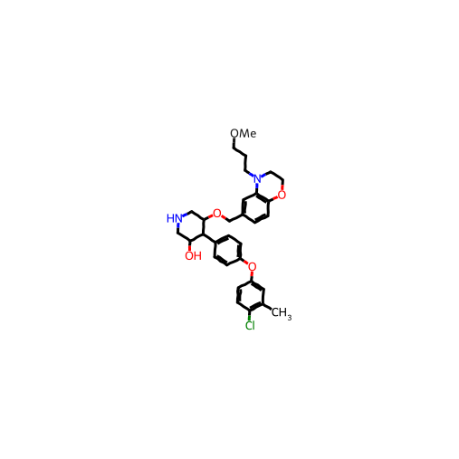 COCCCN1CCOc2ccc(COC3CNCC(O)C3c3ccc(Oc4ccc(Cl)c(C)c4)cc3)cc21